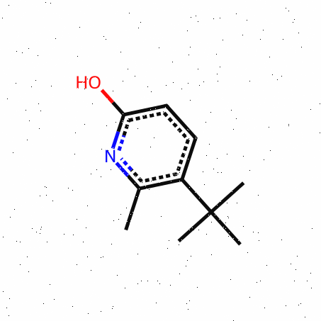 Cc1nc(O)ccc1C(C)(C)C